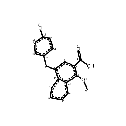 COc1c(C(=O)O)cc(Cc2ccc(Cl)nc2)c2ccccc12